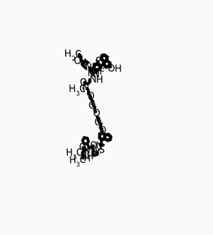 C=CC(=O)N1CCN(c2nc(NCCC(=O)N(C)CCOCCOCCOCCOCCOc3ccc(-c4csc([C@@H]5CCCN5C(=O)[C@@H](NC(=O)[C@H](C)NC)C5CCCCC5)n4)c4ccccc34)nc3c(F)c(-c4cc(O)cc5ccccc45)c(Cl)cc23)CC1